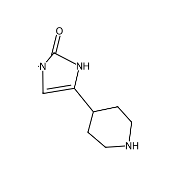 O=C1[N]C=C(C2CCNCC2)N1